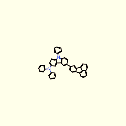 c1ccc(N(c2ccccc2)c2ccc3c(c2)c2cc(-c4ccc5c(c4)-c4cccc6cccc-5c46)ccc2n3-c2ccccc2)cc1